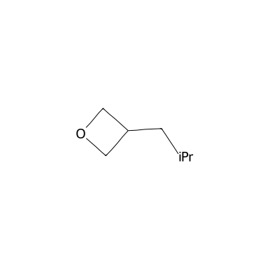 CC(C)CC1COC1